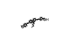 CCCCn1c2cc(C#Cc3ccc(CO)cc3)ccc2c2ccc(C#Cc3ccc(OC)cc3)cc21